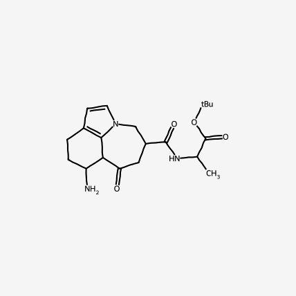 CC(NC(=O)C1CC(=O)C2c3c(ccn3C1)CCC2N)C(=O)OC(C)(C)C